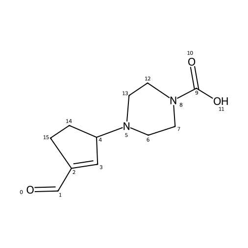 O=CC1=CC(N2CCN(C(=O)O)CC2)CC1